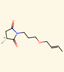 CC=CCOCCCN1C(=O)C[C@@H](C)C1=O